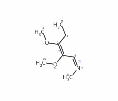 CC/C(OC)=C(\C=N/C)OC